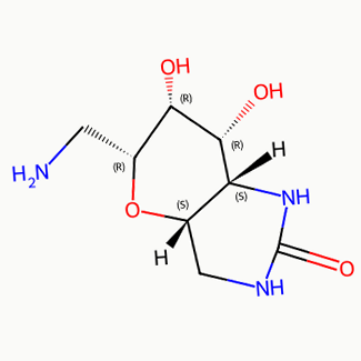 NC[C@H]1O[C@H]2CNC(=O)N[C@H]2[C@@H](O)[C@H]1O